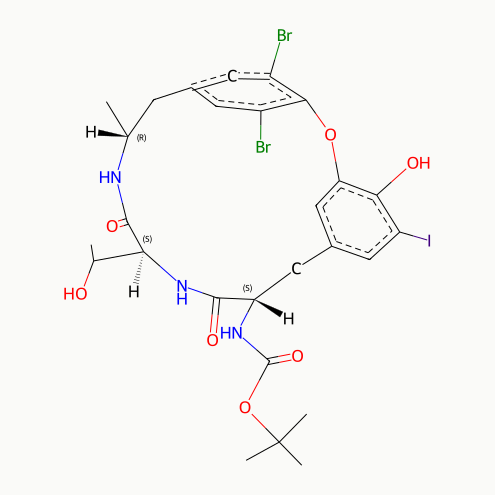 CC(O)[C@@H]1NC(=O)[C@@H](NC(=O)OC(C)(C)C)Cc2cc(I)c(O)c(c2)Oc2c(Br)cc(cc2Br)C[C@@H](C)NC1=O